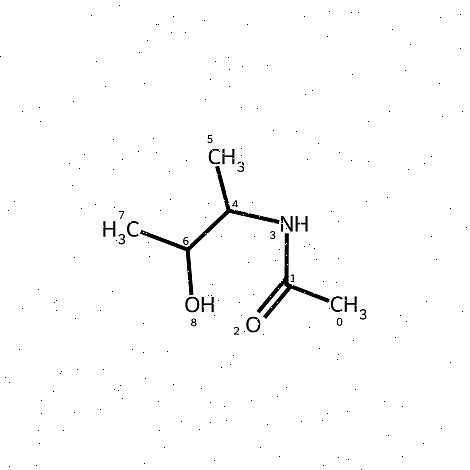 CC(=O)NC(C)C(C)O